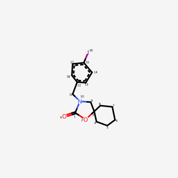 O=C1OC2(CCCCC2)CN1Cc1ccc(I)cc1